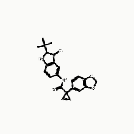 CC(C)(C)C1Nc2ccc(NC(=O)C3(c4ccc5c(c4)OCO5)CC3)cc2C1Cl